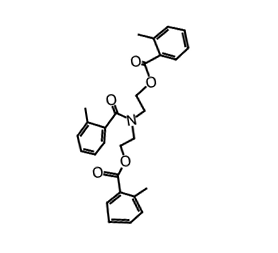 Cc1ccccc1C(=O)OCCN(CCOC(=O)c1ccccc1C)C(=O)c1ccccc1C